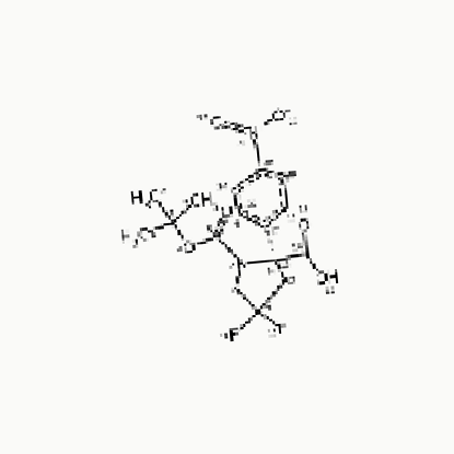 CC(C)(C)OC(=O)N1CC(F)(F)C[C@@]1(C(=O)O)c1ccc([N+](=O)[O-])cc1